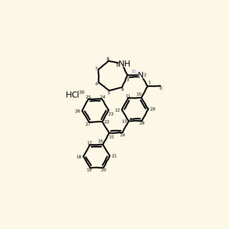 CC(/N=C1\CCCCCN1)c1ccc(C=C(c2ccccc2)c2ccccc2)cc1.Cl